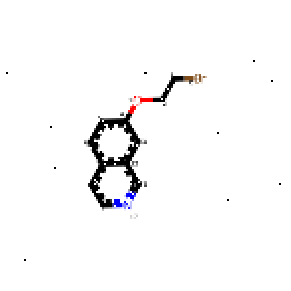 BrCCOc1ccc2ccncc2c1